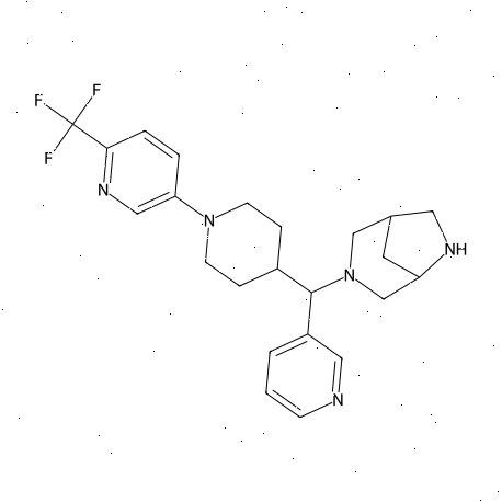 FC(F)(F)c1ccc(N2CCC(C(c3cccnc3)N3CC4CNC(C4)C3)CC2)cn1